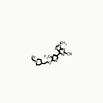 CC(C)CN1CCC(CCOc2ncc(-c3nc(C#N)nc4c3ncn4C)cc2C(F)(F)F)CC1